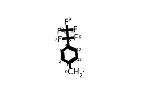 [CH2]c1ccc(C(F)(F)C(F)(F)F)cc1